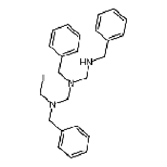 ICN(Cc1ccccc1)CN(CNCc1ccccc1)Cc1ccccc1